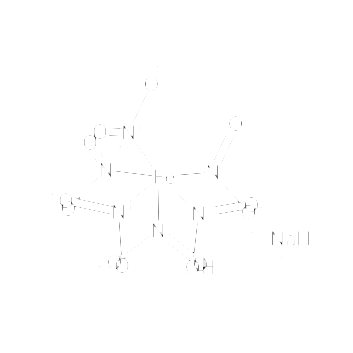 O=[N+]([O-])[Fe]([N+](=O)[O-])([N+](=O)[O-])([N+](=O)[O-])([N+](=O)[O-])[N+](=O)O.[NaH]